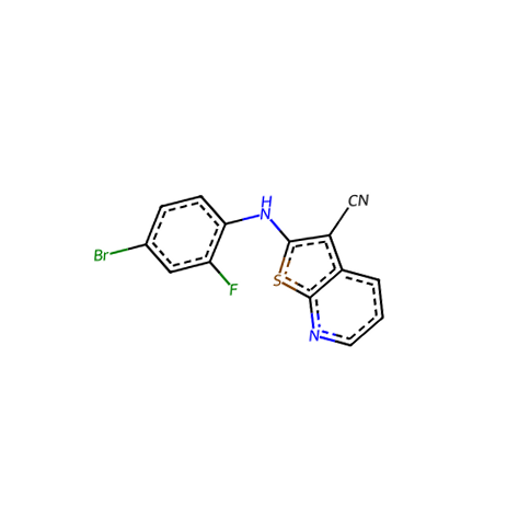 N#Cc1c(Nc2ccc(Br)cc2F)sc2ncccc12